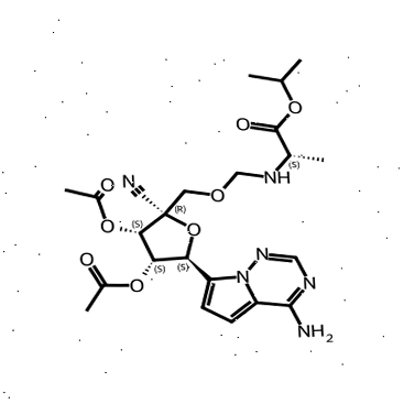 CC(=O)O[C@H]1[C@H](c2ccc3c(N)ncnn23)O[C@](C#N)(COCN[C@@H](C)C(=O)OC(C)C)[C@H]1OC(C)=O